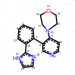 c1ccc(-c2cnccc2N2CCOCC2)c(-c2ncc[nH]2)c1